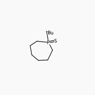 CC(C)(C)P1(=S)CCCCCC1